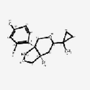 CC1([C@H]2C[C@H]3CON[C@@]3(c3ccc(F)cc3F)CO2)CC1